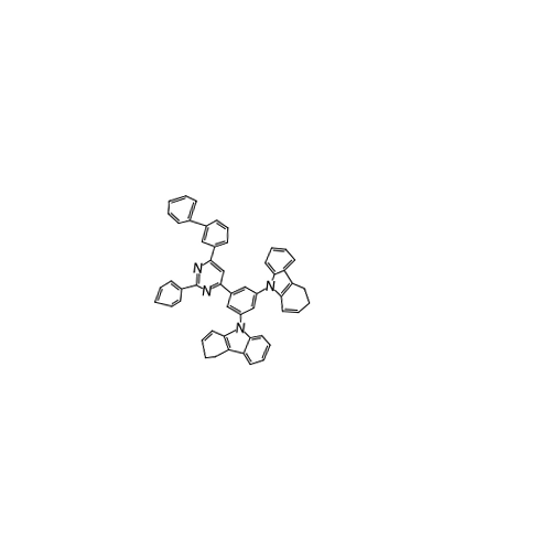 C1=Cc2c(c3ccccc3n2-c2cc(-c3cc(-c4cccc(-c5ccccc5)c4)nc(-c4ccccc4)n3)cc(-n3c4c(c5ccccc53)CCC=C4)c2)CC1